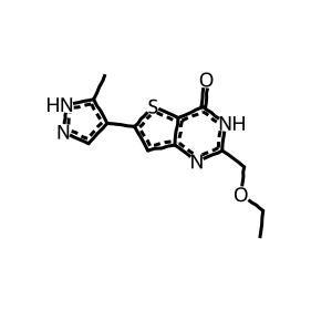 CCOCc1nc2cc(-c3cn[nH]c3C)sc2c(=O)[nH]1